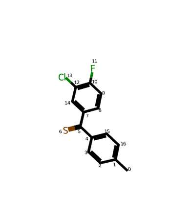 Cc1ccc(C(=S)c2ccc(F)c(Cl)c2)cc1